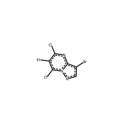 CCc1c(Cl)nc2c(Br)cnn2c1Cl